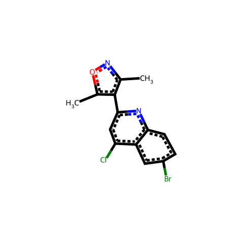 Cc1noc(C)c1-c1cc(Cl)c2cc(Br)ccc2n1